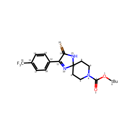 CC(C)(C)OC(=O)N1CCC2(CC1)N=C(c1ccc(C(F)(F)F)cc1)C(=S)N2